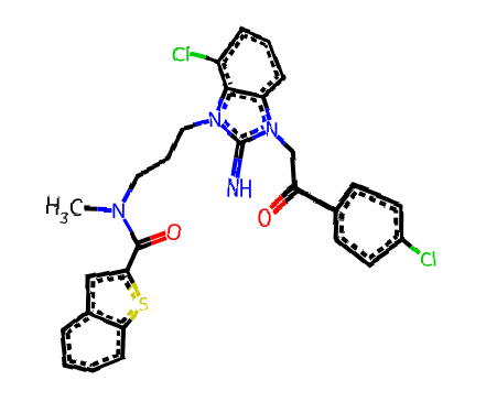 CN(CCCn1c(=N)n(CC(=O)c2ccc(Cl)cc2)c2cccc(Cl)c21)C(=O)c1cc2ccccc2s1